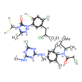 CCNc1nc(Cl)nc(NC(C)C)n1.CCOC(=O)C(Cl)Cc1cc(-n2nc(C)n(C(F)F)c2=O)c(F)cc1Cl.CCc1cccc(C)c1N(C(=O)CCl)C(C)COC